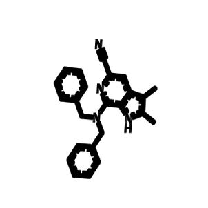 Cc1[nH]c2c(N(Cc3ccccc3)Cc3ccccc3)nc(C#N)cc2c1C